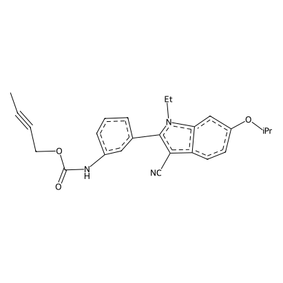 CC#CCOC(=O)Nc1cccc(-c2c(C#N)c3ccc(OC(C)C)cc3n2CC)c1